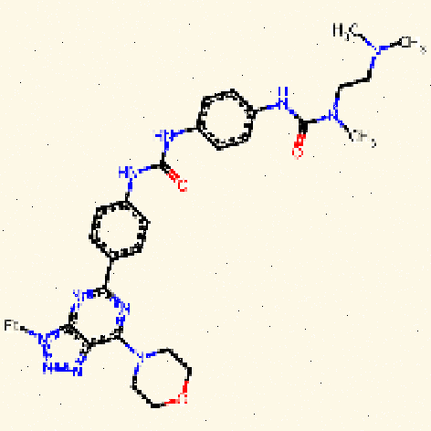 CCn1nnc2c(N3CCOCC3)nc(-c3ccc(NC(=O)Nc4ccc(NC(=O)N(C)CCN(C)C)cc4)cc3)nc21